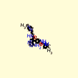 Cc1cccc(NC(=O)Nc2ccc(-c3c(C(=O)NCCCN4CCN(C)CC4)cn4ncnc(N)c34)cc2)n1